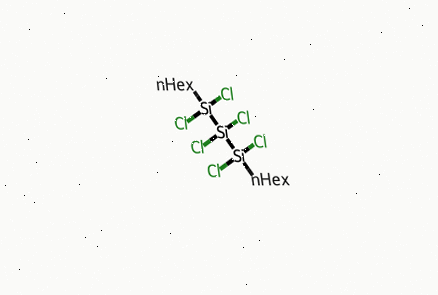 CCCCCC[Si](Cl)(Cl)[Si](Cl)(Cl)[Si](Cl)(Cl)CCCCCC